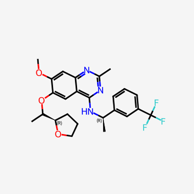 COc1cc2nc(C)nc(N[C@H](C)c3cccc(C(F)(F)F)c3)c2cc1OC(C)[C@H]1CCCO1